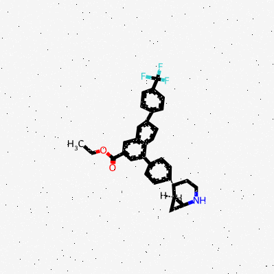 CCOC(=O)c1cc(-c2ccc([C@@H]3CCN[C@H]4C[C@H]43)cc2)c2ccc(-c3ccc(C(F)(F)F)cc3)cc2c1